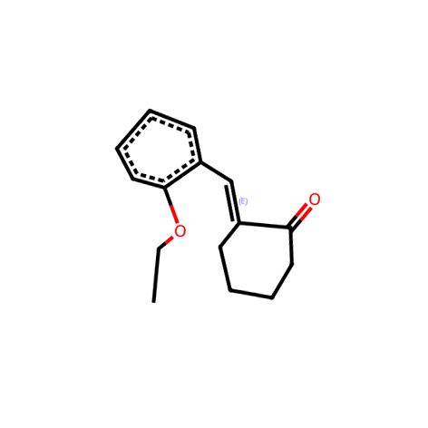 CCOc1ccccc1/C=C1\CCCCC1=O